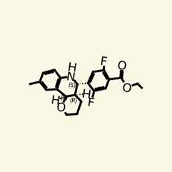 CCOC(=O)c1cc(F)c([C@H]2Nc3ccc(C)cc3[C@@H]3OCCC[C@H]23)cc1F